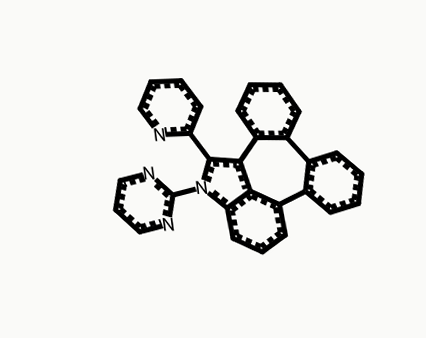 c1ccc(-c2c3c4c(cccc4n2-c2ncccn2)-c2ccccc2-c2ccccc2-3)nc1